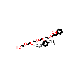 Cc1ccc(S(=O)(=O)O)cc1.OCCOCCOCCOCCOCCOCC(O)Cc1ccccc1